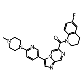 CN1CCN(c2ccc(-c3cnc4cnc(C(=O)N5CCCc6cc(F)ccc65)cn34)cn2)CC1